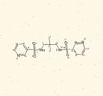 CC(C)(CNS(=O)(=O)c1cccnc1)CNS(=O)(=O)c1cccnc1